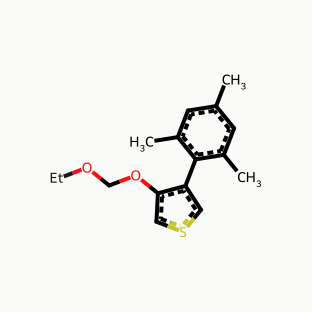 CCOCOc1cscc1-c1c(C)cc(C)cc1C